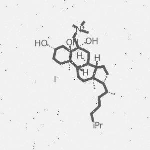 CC(C)CCC[C@@H](C)[C@H]1CC[C@H]2[C@@H]3C[C@](O)(C[N+](C)(C)C)[C@@]4(O)C[C@@H](O)CC[C@]4(C)[C@H]3CC[C@]12C.[I-]